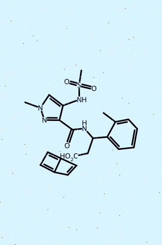 Cc1ccccc1C(CC(=O)O)NC(=O)c1nn(C)cc1NS(C)(=O)=O.c1cc2ccc1-2